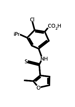 Cc1occc1C(=S)Nc1cc(C(=O)O)c(Cl)c(C(C)C)c1